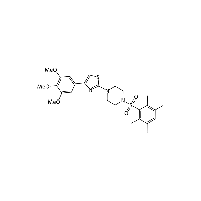 COc1cc(-c2csc(N3CCN(S(=O)(=O)c4c(C)c(C)cc(C)c4C)CC3)n2)cc(OC)c1OC